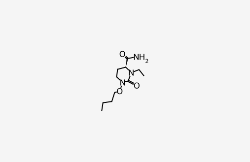 CCCCON1CC[C@@H](C(N)=O)N(CC)C1=O